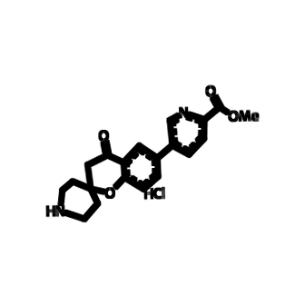 COC(=O)c1ccc(-c2ccc3c(c2)C(=O)CC2(CCNCC2)O3)cn1.Cl